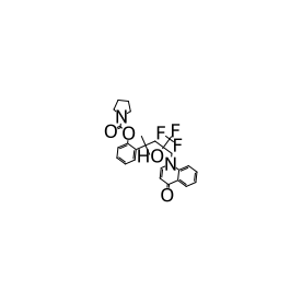 CC(C)(CC(O)(Cn1ccc(=O)c2ccccc21)C(F)(F)F)c1ccccc1OC(=O)N1CCCC1